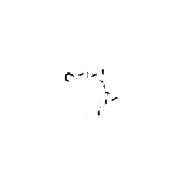 NC(=O)CN(CC(=O)NNCCO)CC(=O)NNC(=O)CN(CC(N)=O)CC(=O)NNCCO[C@@H]1OCCC[C@@H]1O